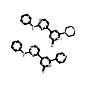 O=c1cc(-c2ccnc(Nc3ccccc3)n2)cc(-c2ccncc2)[nH]1.O=c1cc(-c2ccnc(Nc3ccccc3)n2)cc(N2CCOCC2)[nH]1